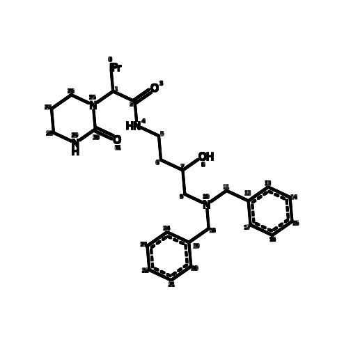 CC(C)C(C(=O)NCCC(O)CN(Cc1ccccc1)Cc1ccccc1)N1CCCNC1=O